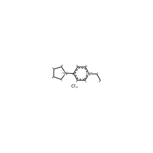 CC[n+]1ccc(N2CCCC2)cc1.[Cl-]